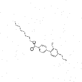 CCCCCCCCOC(=O)c1ccc(-c2ccc(CCC)cc2F)cc1